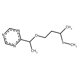 CSC(C)CCOC(C)c1ncncn1